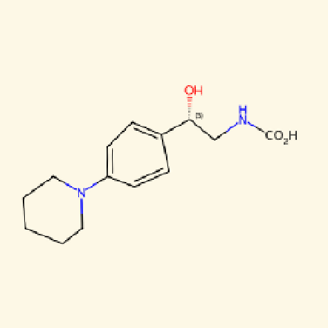 O=C(O)NC[C@@H](O)c1ccc(N2CCCCC2)cc1